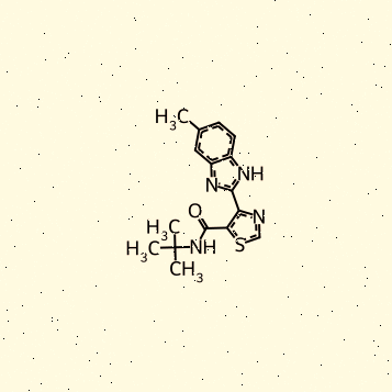 Cc1ccc2[nH]c(-c3ncsc3C(=O)NC(C)(C)C)nc2c1